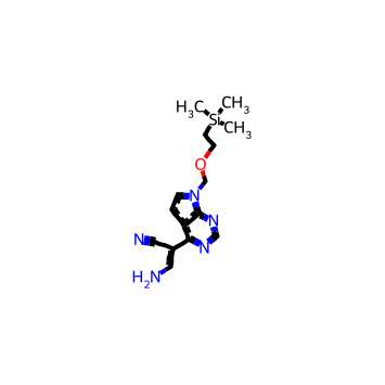 C[Si](C)(C)CCOCn1ccc2c(/C(C#N)=C/N)ncnc21